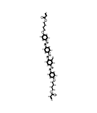 C=CC(=O)OCCCCOc1ccc(/N=N/c2ccc(/N=N/c3ccc(/N=N/c4ccc(OCCCCOC(=O)C=C)cc4)cc3C)cc2)cc1